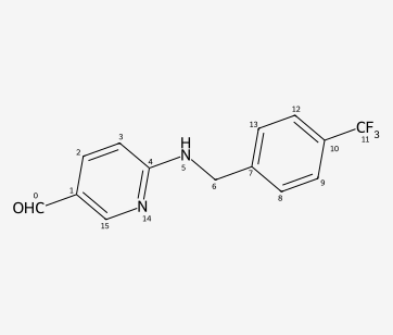 O=Cc1ccc(NCc2ccc(C(F)(F)F)cc2)nc1